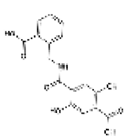 O=C(O)c1cc(O)c(C(=O)NCc2ccccc2C(=O)O)cc1O